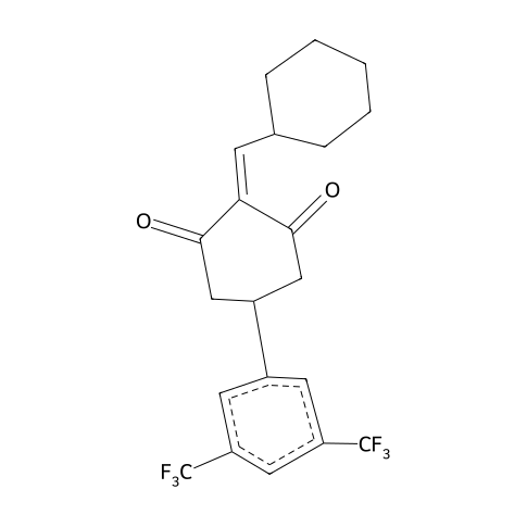 O=C1CC(c2cc(C(F)(F)F)cc(C(F)(F)F)c2)CC(=O)C1=CC1CCCCC1